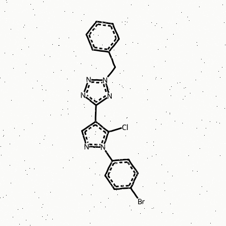 Clc1c(-c2nnn(Cc3ccccc3)n2)cnn1-c1ccc(Br)cc1